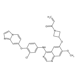 C=CC(=O)N1CC(Oc2cc3c(Nc4ccc(Oc5ccn6ccnc6c5)c(Cl)c4)ncnc3cc2OC)C1